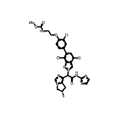 CCc1cc(-c2cc(Cl)c3cn(C(C(=O)Nc4nccs4)c4ncn5c4C[C@@H](F)C5)nc3c2Cl)ccc1OCCNC(=O)OC(C)(C)C